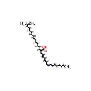 CCCCCCCC/C=C\CCCCCCC(CCCCCCCCCCCCCC(C)C)C(=O)O